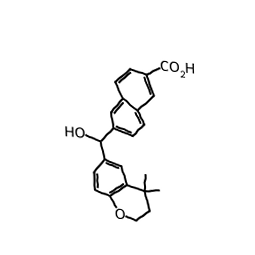 CC1(C)CCOc2ccc(C(O)c3ccc4cc(C(=O)O)ccc4c3)cc21